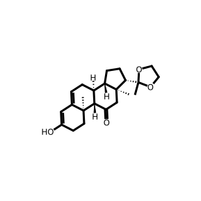 CC1([C@H]2CC[C@H]3[C@@H]4CC=C5C=C(O)CC[C@]5(C)[C@H]4C(=O)C[C@]23C)OCCO1